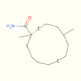 CC1CCCCCCCC(C)(C(N)=O)CCC1